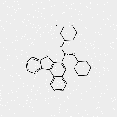 c1ccc2c(c1)cc(B(OC1CCCCC1)OC1CCCCC1)c1sc3ccccc3c12